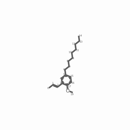 CC=Cc1cc(CCCCCCCCC)ccc1OC